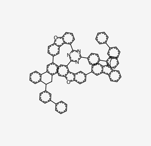 c1ccc(-c2ccc(-c3nc(-c4cccc5oc6ccc(-c7ccc8c(c7)-c7ccccc7C(c7cccc(-c9ccccc9)c7)C8)cc6c45)nc(-c4cccc5oc6ccc(-c7ccc8c(c7)c7ccccc7n8-c7cccc(-c8ccccc8)c7)cc6c45)n3)cc2)cc1